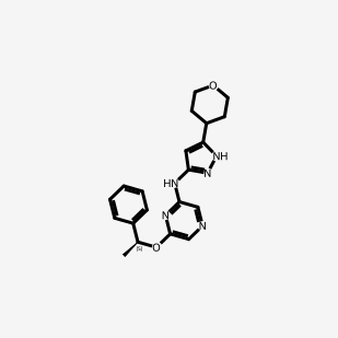 C[C@H](Oc1cncc(Nc2cc(C3CCOCC3)[nH]n2)n1)c1ccccc1